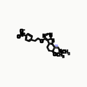 CN(C)/C=C1\C(=O)CCc2c1sc1ncnc(OCCc3ccc([N+](=O)[O-])cc3)c21